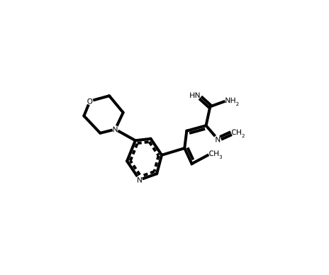 C=N/C(=C\C(=C/C)c1cncc(N2CCOCC2)c1)C(=N)N